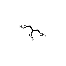 CCC(CC)OF